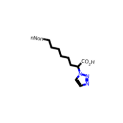 CCCCCCCCCCCCCCCC(C(=O)O)n1ccnn1